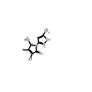 CC1=C(Cl)C(=O)N(c2cc(C(F)(F)F)on2)C1O